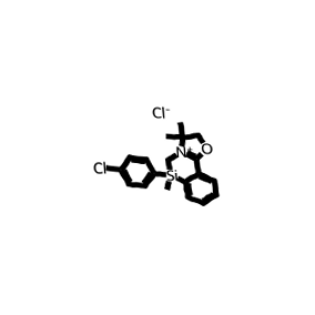 CC1(C)COC2=[N+]1C[Si](C)(c1ccc(Cl)cc1)c1ccccc12.[Cl-]